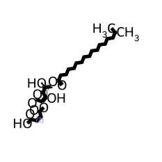 CC(C)CCCCCCCCCCCCCCC(=O)OC[C@H](O)[C@H]1OC(=O)C(OC(=O)/C=C\C(=O)O)=C1O